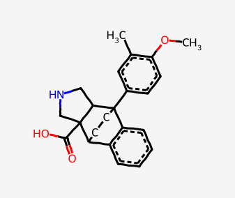 COc1ccc(C23CCC(c4ccccc42)C2(C(=O)O)CNCC32)cc1C